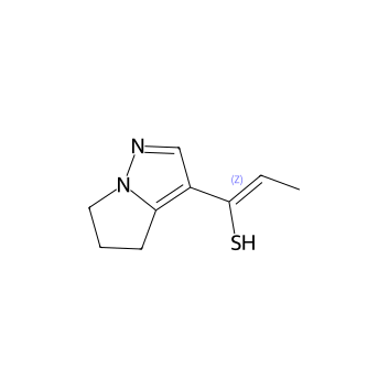 C/C=C(\S)c1cnn2c1CCC2